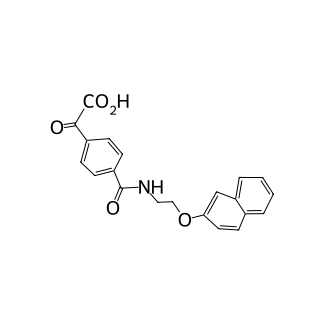 O=C(O)C(=O)c1ccc(C(=O)NCCOc2ccc3ccccc3c2)cc1